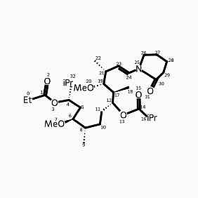 CCC(=O)O[C@@H](C[C@H](OC)[C@@H](C)CC[C@@H](OC(=O)C(C)C)[C@H](C)[C@H](OC)[C@H](C)/C=C/N1CCCCC1=O)C(C)C